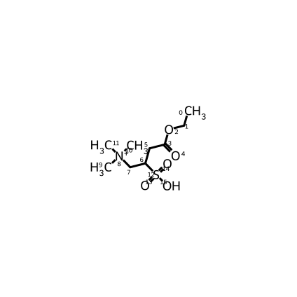 CCOC(=O)CC(C[N+](C)(C)C)S(=O)(=O)O